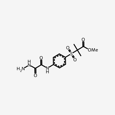 COC(=O)C(C)(C)S(=O)(=O)c1ccc(NC(=O)C(=O)NN)cc1